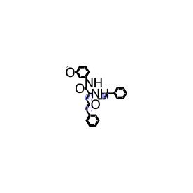 COc1cccc(NC(=O)/C(=C/C=C/c2ccccc2)NC(=O)/C=C/c2ccccc2)c1